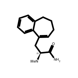 CN[C@@H](CC1=CCCCc2ccccc21)C(N)=O